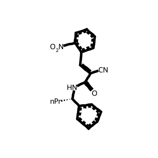 CCC[C@H](NC(=O)/C(C#N)=C/c1ccccc1[N+](=O)[O-])c1ccccc1